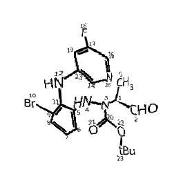 C[C@@H](C=O)N(Nc1cccc(Br)c1Nc1cncc(F)c1)C(=O)OC(C)(C)C